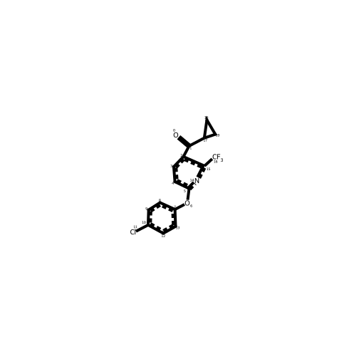 O=C(c1ccc(Oc2ccc(Cl)cc2)nc1C(F)(F)F)C1CC1